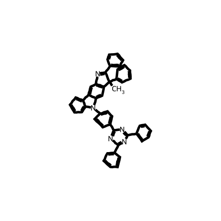 CC1(c2ccccc2)C(c2ccccc2)=Nc2cc3c4ccccc4n(-c4ccc(-c5nc(-c6ccccc6)nc(-c6ccccc6)n5)cc4)c3cc21